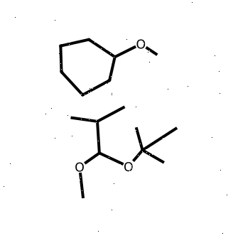 COC(OC(C)(C)C)C(C)C.COC1CCCCC1